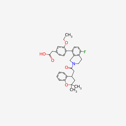 CCOc1cc(CC(=O)O)ccc1-c1ccc(F)c2c1CN(C(=O)CC1CC(C)(C)Oc3ccccc31)CC2